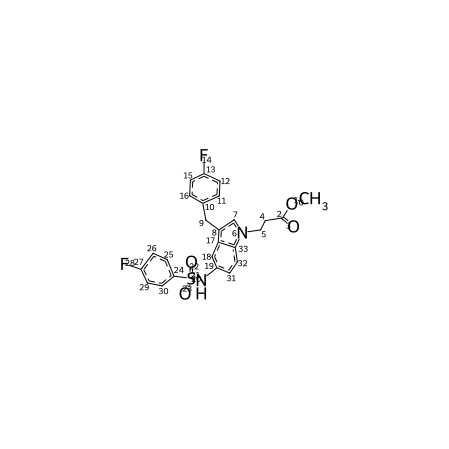 COC(=O)CCn1cc(Cc2ccc(F)cc2)c2cc(NS(=O)(=O)c3ccc(F)cc3)ccc21